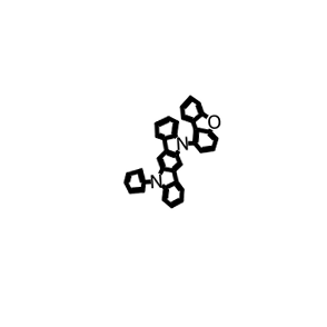 c1ccc(-n2c3ccccc3c3cc4c(cc32)c2ccccc2n4-c2cccc3oc4ccccc4c23)cc1